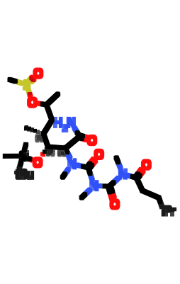 CC(C)CCC(=O)N(C)C(=O)N(C)C(=O)N(C)[C@H](C(N)=O)[C@H](O[Si](C)(C)C(C)(C)C)[C@H](C)CC(C)OS(C)=O